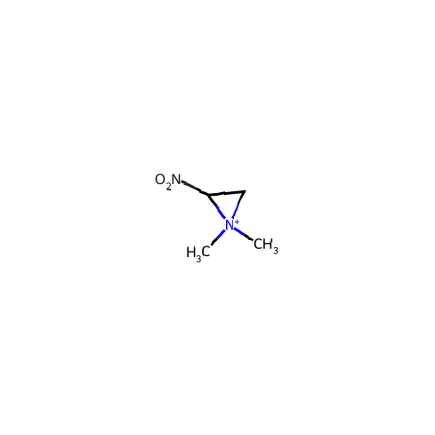 C[N+]1(C)CC1[N+](=O)[O-]